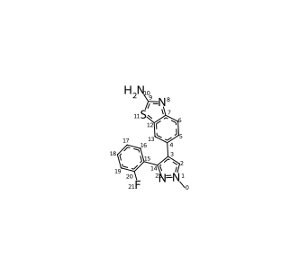 Cn1cc(-c2ccc3nc(N)sc3c2)c(-c2ccccc2F)n1